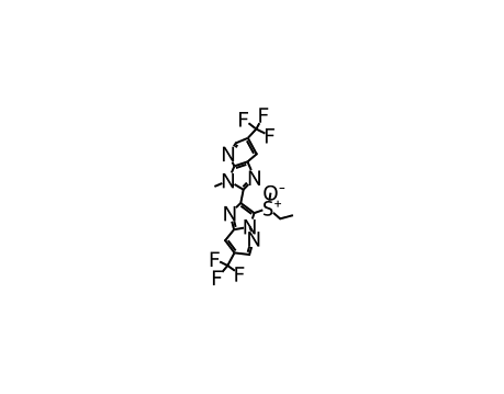 CC[S+]([O-])c1c(-c2nc3cc(C(F)(F)F)cnc3n2C)nc2cc(C(F)(F)F)cnn12